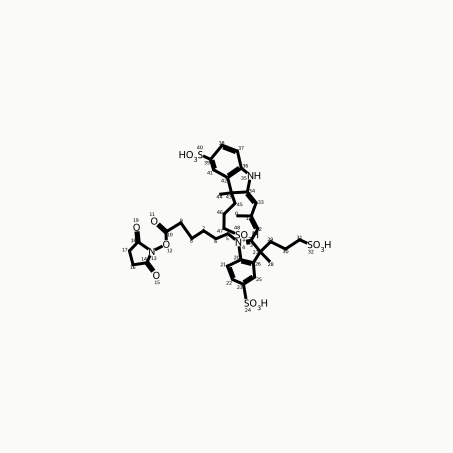 CC(=C\C1=[N+](CCCCCC(=O)ON2C(=O)CCC2=O)c2ccc(S(=O)(=O)O)cc2C1(C)CCCS(=O)(=O)O)/C=C1/Nc2ccc(S(=O)(=O)O)cc2C1(C)CCCS(=O)(=O)O